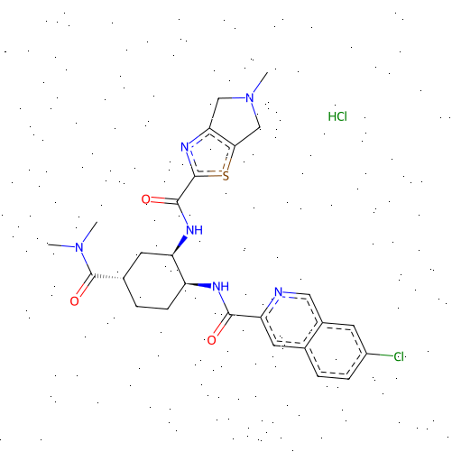 CN1Cc2nc(C(=O)N[C@@H]3C[C@@H](C(=O)N(C)C)CC[C@@H]3NC(=O)c3cc4ccc(Cl)cc4cn3)sc2C1.Cl